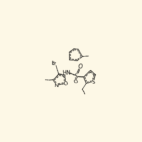 CCc1sccc1S(=O)(=O)Nc1onc(C)c1Br.Cc1ccccc1